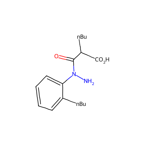 CCCCc1ccccc1N(N)C(=O)C(CCCC)C(=O)O